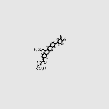 O=C(O)CCNC(=O)c1ccc(C(CCC(F)(F)F)c2cnc3cc(-c4ccc(F)c(F)c4)ccc3c2)cc1